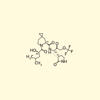 CC(C)C[C@@H](O)C(=O)N1CCC2(CC2)C[C@H]1C(=O)N[C@@H](C[C@@H]1CCNC1=O)C(=O)COC(F)(F)F